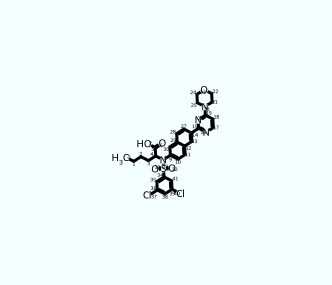 CCCCC(C(=O)O)N(c1ccc2cc(-c3nccc(N4CCOCC4)n3)ccc2c1)S(=O)(=O)c1cc(Cl)cc(Cl)c1